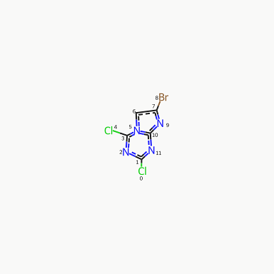 Clc1nc(Cl)n2cc(Br)nc2n1